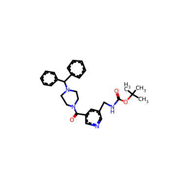 CC(C)(C)OC(=O)NCc1cncc(C(=O)N2CCN(C(c3ccccc3)c3ccccc3)CC2)c1